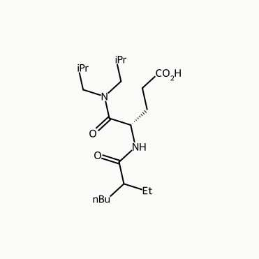 CCCCC(CC)C(=O)N[C@@H](CCC(=O)O)C(=O)N(CC(C)C)CC(C)C